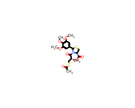 COc1cc(C2SC[C@@H](C(=O)O)N2C(=O)[C@H](C)CSC(C)=O)cc(OC)c1OC